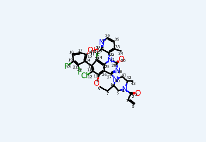 C=CC(=O)N1CC2CCOc3c(Cl)c(-c4c(O)ccc(F)c4F)c(F)c4c3c(nc(=O)n4-c3c(C)ccnc3C(C)C)N2CC1C